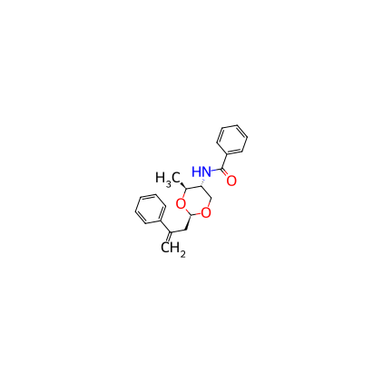 C=C(C[C@@H]1OC[C@@H](NC(=O)c2ccccc2)[C@H](C)O1)c1ccccc1